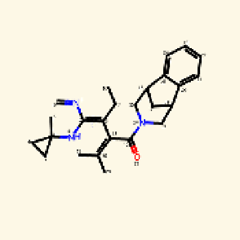 C=N/C(NC1(C)CC1)=C(\CC)C(C(=O)N1CC2CC(C1)c1ccccc12)=C(C)C